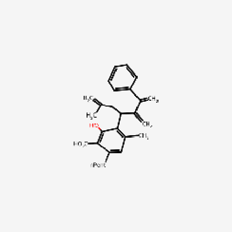 C=C(C)CC(C(=C)C(=C)c1ccccc1)c1c(C)cc(CCCCC)c(C(=O)O)c1O